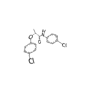 CC(Oc1ccc(Cl)cc1)C(=O)Nc1ccc(Cl)cc1